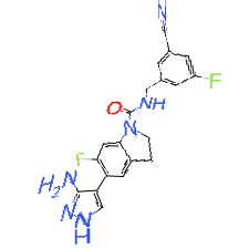 N#Cc1cc(F)cc(CNC(=O)N2CCc3cc(-c4c[nH]nc4N)c(F)cc32)c1